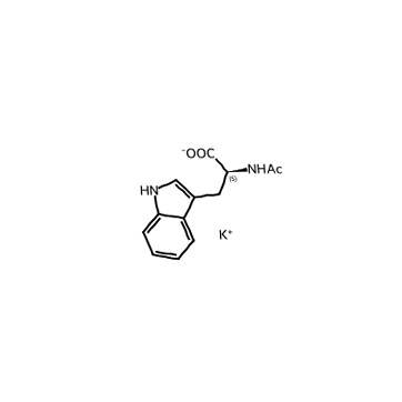 CC(=O)N[C@@H](Cc1c[nH]c2ccccc12)C(=O)[O-].[K+]